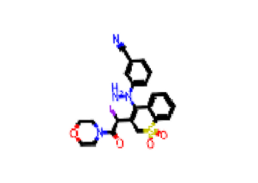 N#Cc1cccc(N(N)C2=C(C(I)C(=O)N3CCOCC3)CS(=O)(=O)c3ccccc32)c1